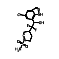 NS(=O)(=O)N1CCC(C(F)(F)C(O)c2cc(Cl)cc3cn[nH]c23)CC1